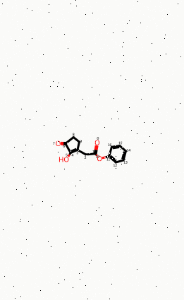 O=C(CC1=C(O)C(=O)CC1)Oc1ccccc1